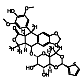 [2H]C1([2H])OC(=O)[C@H]2[C@H]1[C@H](O[C@@H]1O[C@H]3[C@@H](O[C@H](c4cccs4)OC3([2H])[2H])[C@H](O)[C@H]1O)c1cc3c(cc1[C@@]2([2H])c1cc(OC)c(O)c(OC)c1)OCO3